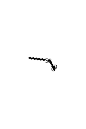 CCCCCCCCCCCCSC=C=CCCCC(=O)OC